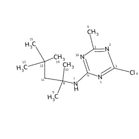 Cc1nc(Cl)nc(NC(C)(C)CC(C)(C)C)n1